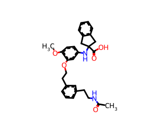 COc1ccc(NC2(C(=O)O)Cc3ccccc3C2)cc1OCCc1cccc(CCNC(C)=O)c1